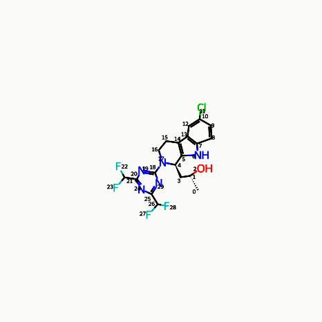 C[C@@H](O)C[C@@H]1c2[nH]c3ccc(Cl)cc3c2CCN1c1nc(C(F)F)nc(C(F)F)n1